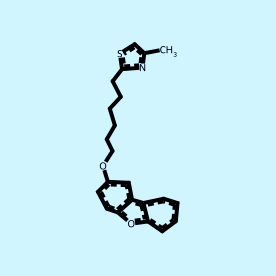 Cc1csc(CCCCCCOc2ccc3oc4ccccc4c3c2)n1